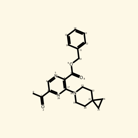 CC(=O)c1cnc(C(=O)OCc2ccccc2)c(N2CCC3(CC2)CC3)n1